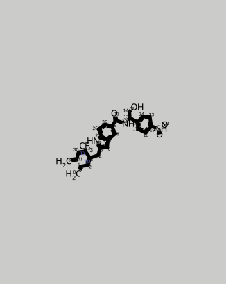 C=C/C=C(Cc1cc2cc(C(=O)NC(CO)c3ccc([SH](=O)=O)cc3)ccc2[nH]1)\C(=C/C=C)C(F)(F)F